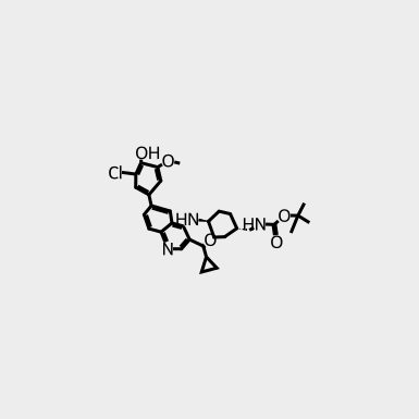 COc1cc(-c2ccc3ncc(C(=O)C4CC4)c(N[C@H]4CC[C@H](CNC(=O)OC(C)(C)C)CC4)c3c2)cc(Cl)c1O